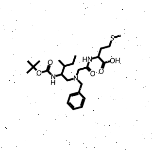 CCC(C)C(CN(CC(=O)NC(CCSC)C(=O)O)Cc1ccccc1)NC(=O)OC(C)(C)C